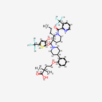 CCC[C@H]1N(C(=O)c2ncccc2C(F)(F)F)CCC[C@@]1(Oc1csc(C(F)(F)F)c1)C(=O)N1CCC(c2ccccc2OCCC(C)(C)C(=O)O)CC1